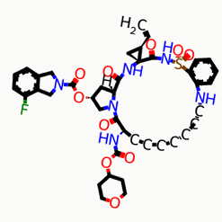 C=C[C@@H]1C[C@@]12NC(=O)[C@@H]1C[C@@H](OC(=O)N3Cc4cccc(F)c4C3)CN1C(=O)[C@@H](NC(=O)OC1CCOCC1)CCCCCCCNc1ccccc1S(=O)(=O)NC2=O